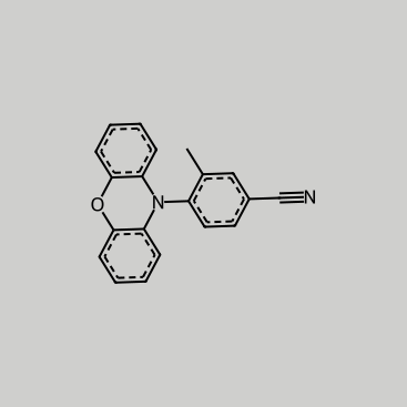 Cc1cc(C#N)ccc1N1c2ccccc2Oc2ccccc21